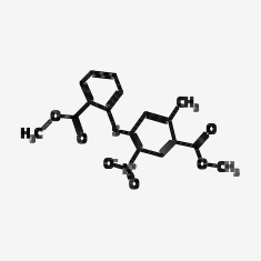 COC(=O)c1cc([N+](=O)[O-])c(Sc2ccccc2C(=O)OC)cc1C